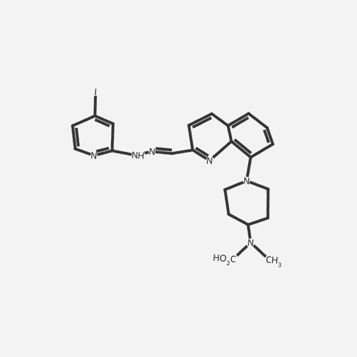 CN(C(=O)O)C1CCN(c2cccc3ccc(C=NNc4cc(I)ccn4)nc23)CC1